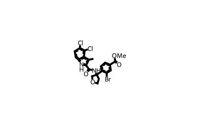 COC(=O)c1ccc(C2(NC(=O)c3[nH]c4ccc(Cl)c(Cl)c4c3C)CCOC2)c(Br)c1